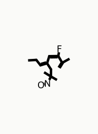 C=C(C)/C(F)=C\C(=C/CC)CC(C)(C)N=O